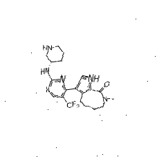 CN1CCCCc2c(-c3nc(N[C@H]4CCCNC4)ncc3C(F)(F)F)c[nH]c2C1=O